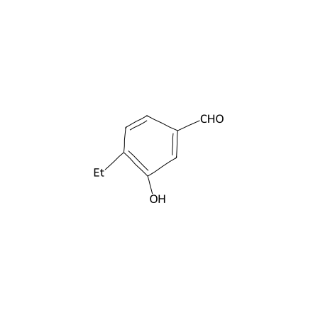 CCc1ccc(C=O)cc1O